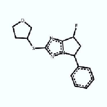 FC1CC(c2ccccc2)n2nc(SC3CCOC3)nc21